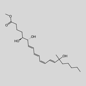 CCCCCC(C)(O)/C=C/C=C\C=C\C=C\[C@@H](O)[C@@H](O)CCCC(=O)OC